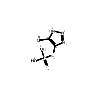 O=P(O)(O)Oc1nn[nH]c1Cl